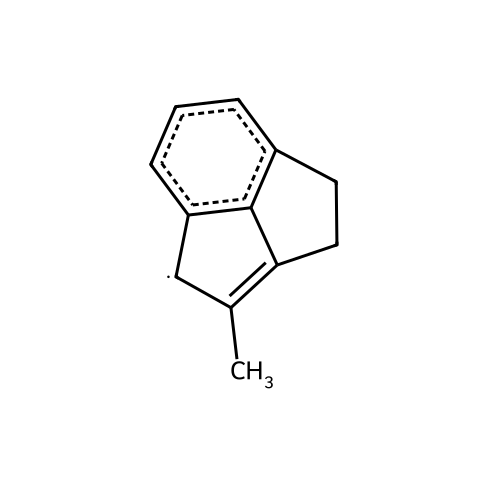 CC1=C2CCc3cccc(c32)[CH]1